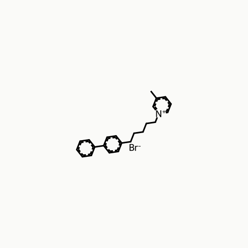 Cc1ccc[n+](CCCCCc2ccc(-c3ccccc3)cc2)c1.[Br-]